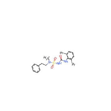 CC(C)c1cccc(C(C)C)c1NC(=O)NS(=O)(=O)N(C)CCc1ccccc1